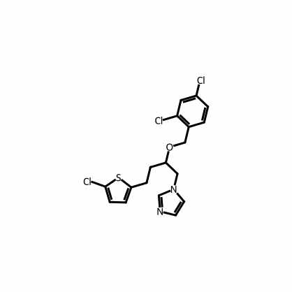 Clc1ccc(COC(CCc2ccc(Cl)s2)Cn2ccnc2)c(Cl)c1